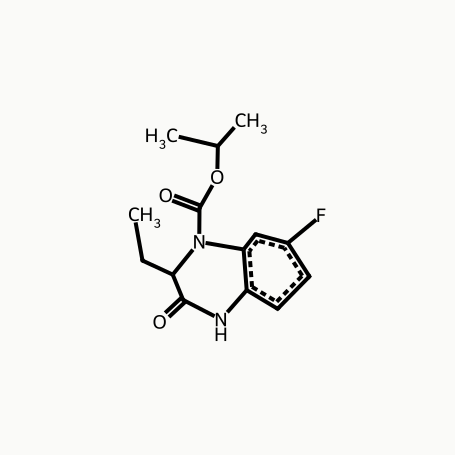 CCC1C(=O)Nc2ccc(F)cc2N1C(=O)OC(C)C